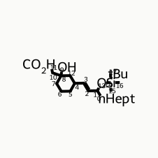 CCCCCCCC(/C=C/C1CCCC(O)(CC(=O)O)C1)O[Si](C)(C)C(C)(C)C